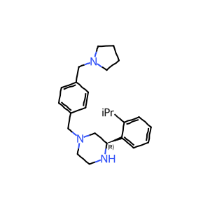 CC(C)c1ccccc1[C@@H]1CN(Cc2ccc(CN3CCCC3)cc2)CCN1